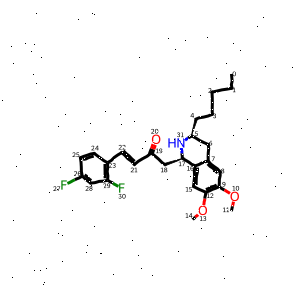 CCCCC[C@H]1Cc2cc(OC)c(OC)cc2[C@@H](CC(=O)/C=C/c2ccc(F)cc2F)N1